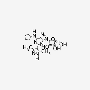 Cc1n[nH]c(C)c1-c1nc(NC2CCCC2)c2ncn(C3O[C@H](CO)[C@@H](O)[C@H]3O)c2n1